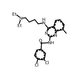 CCN(CC)CCCCNc1nc(NC(=O)c2ccc(Cl)c(Cl)c2)nc2c(C)cccc12